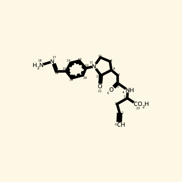 C#CCC(NC(=O)CC1CCN(c2ccc(C=NN)cc2)C1=O)C(=O)O